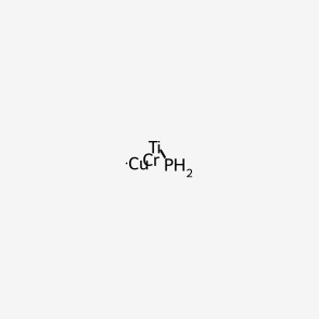 [Cr].[Cu].[PH2][Ti]